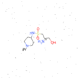 CC(C)N1CCC(NS(=O)(=O)C[C@@H](N)CO)CC1